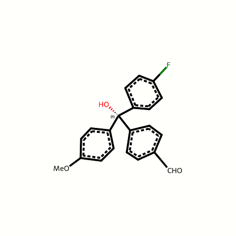 COc1ccc([C@@](O)(c2ccc(F)cc2)c2ccc(C=O)cc2)cc1